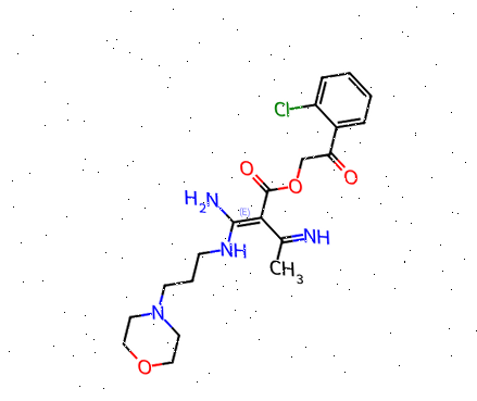 CC(=N)/C(C(=O)OCC(=O)c1ccccc1Cl)=C(/N)NCCCN1CCOCC1